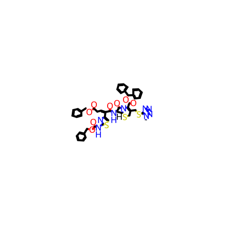 Cn1nnnc1SCC1=C(C(=O)OC(c2ccccc2)c2ccccc2)N2C(=O)C(NC(=O)C(=CCC(=O)OCc3ccccc3)c3csc(NC(=O)OCc4ccccc4)n3)[C@@H]2SC1